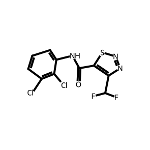 O=C(Nc1cccc(Cl)c1Cl)c1snnc1C(F)F